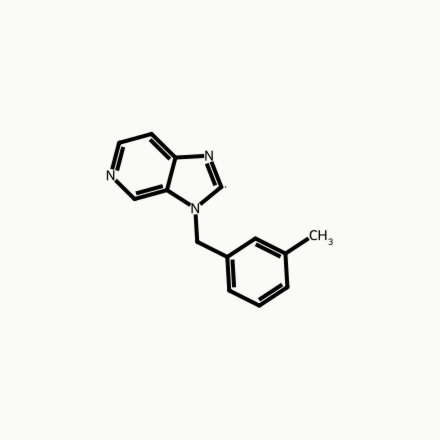 Cc1cccc(Cn2[c]nc3ccncc32)c1